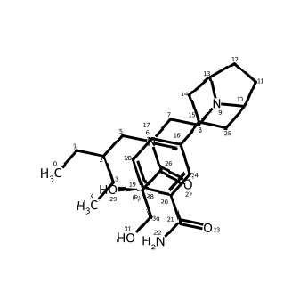 CCC(CC)CN(CCN1C2CCC1CC(c1cccc(C(N)=O)c1)C2)C(=O)[C@H](O)CO